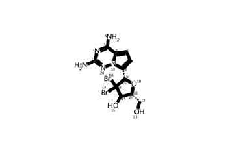 Nc1nc(N)c2ccc([C@@H]3O[C@H](CO)C(O)C3(Br)Br)n2n1